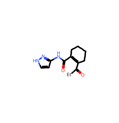 CCC(=O)C1=C(C(=O)Nc2cc[nH]n2)CCCC1